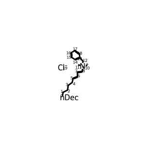 CCCCCCCCCCCCCCC=CC=C[N+](C)(C)Cc1ccccc1.[Cl-]